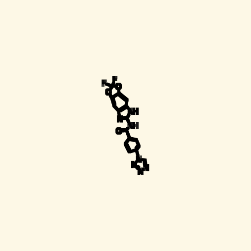 O=C(Nc1nc2cc3c(cc2[nH]1)OC(F)(F)O3)c1ccc(-n2cnnn2)cc1